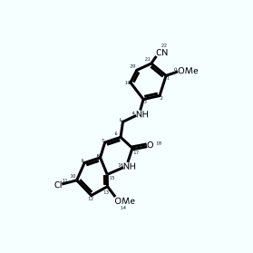 COc1cc(NCc2cc3cc(Cl)cc(OC)c3[nH]c2=O)ccc1C#N